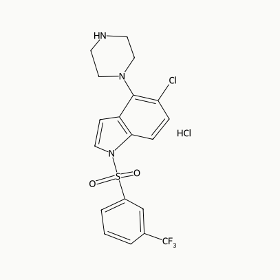 Cl.O=S(=O)(c1cccc(C(F)(F)F)c1)n1ccc2c(N3CCNCC3)c(Cl)ccc21